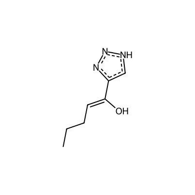 CCCC=C(O)c1c[nH]nn1